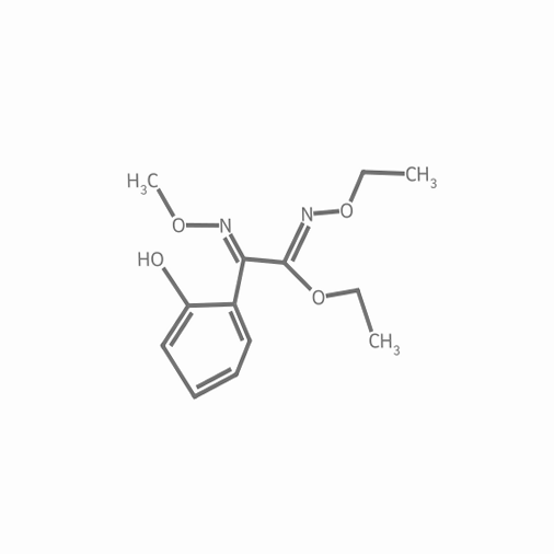 CCO/N=C(OCC)/C(=N/OC)c1ccccc1O